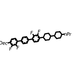 CCCCCCCCCCc1ccc(-c2ccc(-c3ccc(C4CCC(C5CCC(CCC)CC5)CC4)c(F)c3F)cc2)c(F)c1F